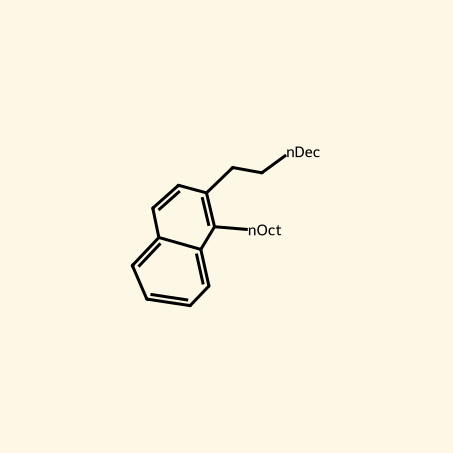 CCCCCCCCCCCCc1ccc2ccccc2c1CCCCCCCC